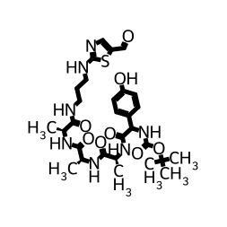 C[C@H](NC(=O)C(NC(=O)OC(C)(C)C)c1ccc(O)cc1)C(=O)N[C@@H](C)C(=O)N[C@@H](C)C(=O)NCCCNc1ncc(C=O)s1